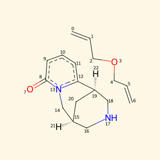 C=CCOCC=C.O=c1cccc2n1C[C@@H]1CNC[C@H]2C1